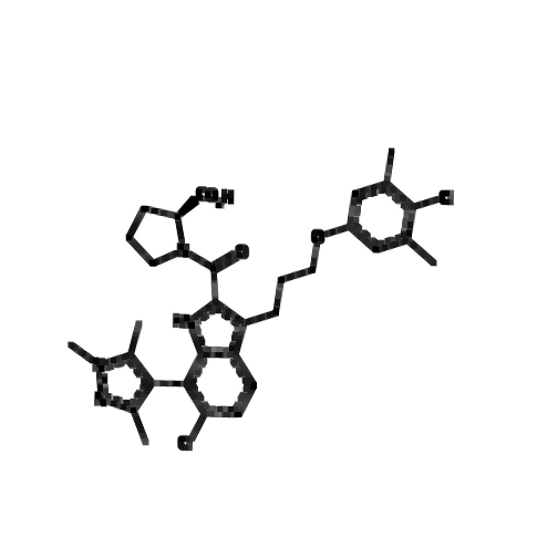 Cc1cc(OCCCc2c(C(=O)N3CCC[C@H]3C(=O)O)[nH]c3c(-c4c(C)nn(C)c4C)c(Cl)ccc23)cc(C)c1Cl